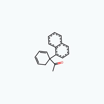 CC(=O)C1(c2cccc3ccccc23)C=CC=CC1